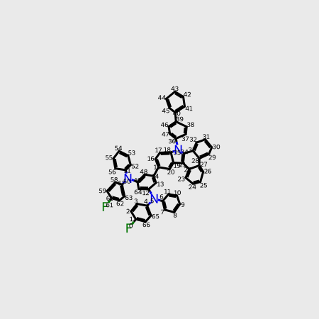 Fc1ccc(N(c2ccccc2)c2cc(-c3ccc4c(c3)c3c5ccccc5c5ccccc5c3n4-c3ccc(-c4ccccc4)cc3)cc(N(c3ccccc3)c3ccc(F)cc3)c2)cc1